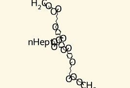 C=COCCOC(=O)CCCCCOc1ccc(C(=O)Oc2ccc(OC(=O)c3ccc(OCCCCCC(=O)OCCOC=C)cc3)c(C(=O)OCCCCCCC)c2)cc1